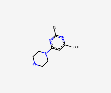 CCc1nc(C(=O)O)cc(N2CCNCC2)n1